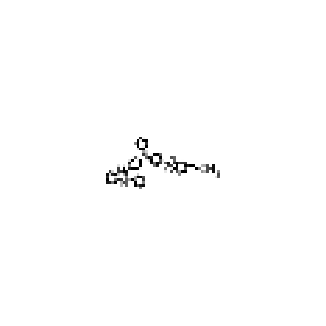 CCCc1ccc2oc(-c3ccc(N(c4ccccc4)c4ccc(-c5nc6ccccc6nc5-c5ccccc5)cc4)cc3)nc2c1